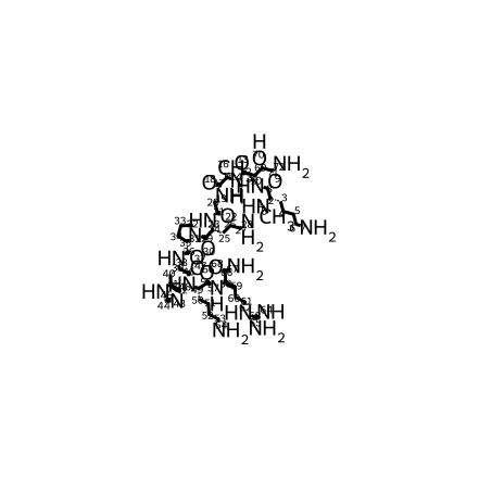 CN[C@@H](CCCCN)C(=O)N[C@H](C(=O)NC(C)C(=O)NCC(=O)N[C@H](CCCN)C(=O)N1CCC[C@H]1C(=O)N[C@@H](Cc1cnc[nH]1)C(=O)N[C@@H](CCCCN)C(=O)N/C(=C\CCNC(=N)N)C(N)=O)[C@@H](O)CN